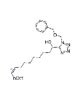 CCCCCCCC/C=C\CCCCCCCC(O)c1nnnn1COCc1ccccc1